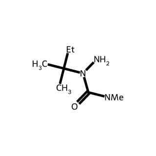 CCC(C)(C)N(N)C(=O)NC